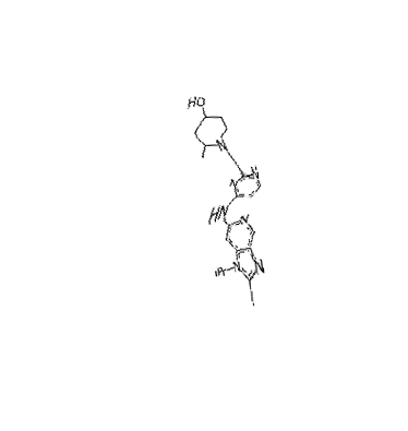 Cc1nc2cnc(Nc3ccnc(N4CCC(O)CC4C)n3)cc2n1C(C)C